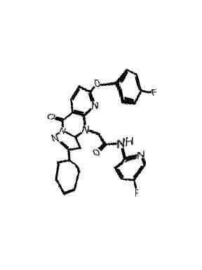 O=C(CN1c2nc(Oc3ccc(F)cc3)ccc2C(=O)N2N=C(C3CCCCC3)CC21)Nc1ccc(F)cn1